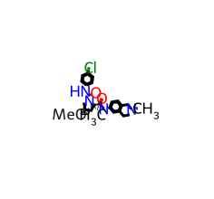 CO[C@@H]1C[C@H](C(=O)N(C)c2ccc3c(c2)CCN(C)C3)N(C(=O)Nc2ccc(Cl)cc2)C1